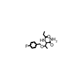 CCC(=O)NC(C(N)=O)C(C)OCc1ccc(F)cc1